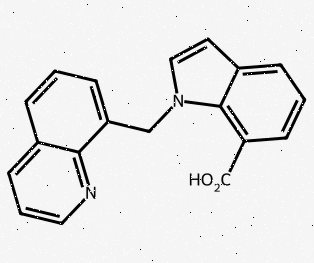 O=C(O)c1cccc2ccn(Cc3cccc4cccnc34)c12